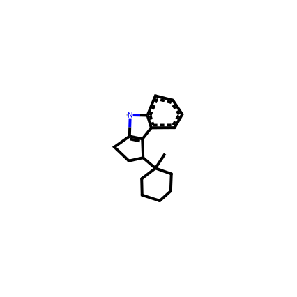 CC1(C2CCC3=C2c2ccccc2[N]3)CCCCC1